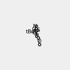 CC(C)(C)OC(=O)N1C(C(=O)Cn2ccc3cc(OCc4ccccc4)ccc32)CSC1c1cccnc1